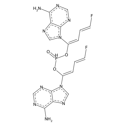 Nc1ncnc2c1ncn2C(=CC=CF)O[PH](=O)OC(=CC=CF)n1cnc2c(N)ncnc21